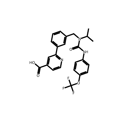 CC(C)N(Cc1cccc(-c2cc(C(=O)O)ccn2)c1)C(=O)Nc1ccc(OC(F)(F)F)cc1